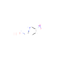 O=[N+]([O-])c1ccc(C=NO)nc1